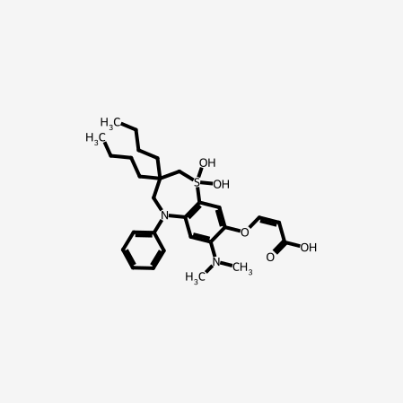 CCCCC1(CCCC)CN(c2ccccc2)c2cc(N(C)C)c(O/C=C\C(=O)O)cc2S(O)(O)C1